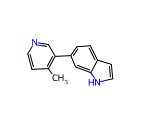 Cc1ccncc1-c1ccc2cc[nH]c2c1